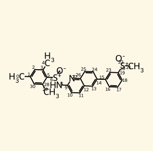 Cc1cc(C)c([S+]([O-])Nc2ccc3cc(-c4cccc([S+](C)[O-])c4)ccc3n2)c(C)c1